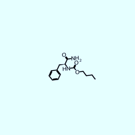 CCCCOC(=O)N[C@@H](Cc1ccccc1)C(N)=O